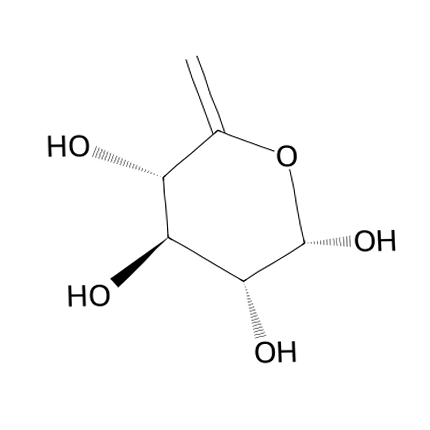 C=C1O[C@H](O)[C@H](O)[C@@H](O)[C@@H]1O